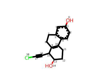 Oc1ccc2c(c1)CCC1=C2CC[C@@H](O)C1C#CCl